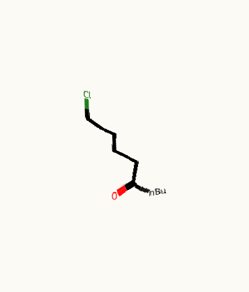 CCCCC(=O)CCCCCl